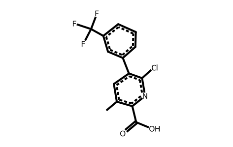 Cc1cc(-c2cccc(C(F)(F)F)c2)c(Cl)nc1C(=O)O